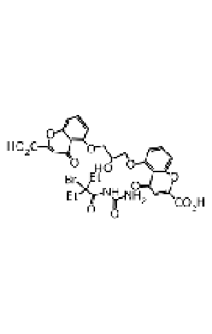 CCC(Br)(CC)C(=O)NC(N)=O.O=C(O)c1cc(=O)c2c(OCC(O)COc3cccc4oc(C(=O)O)cc(=O)c34)cccc2o1